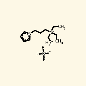 CC[N+](CC)(CC)CCCn1cccc1.F[B-](F)(F)F